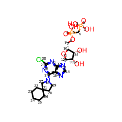 O=P(O)(O)CP(=O)(O)OC[C@H]1O[C@@H](n2cnc3c(N4CCC5(CCCCC5)C4)nc(Cl)nc32)[C@@H](O)[C@H]1O